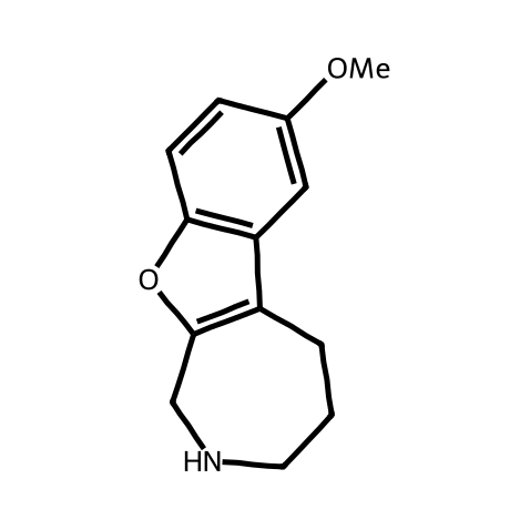 COc1ccc2oc3c(c2c1)CCCNC3